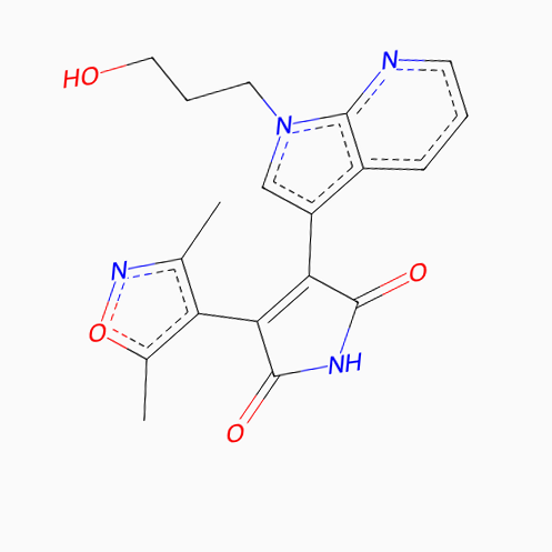 Cc1noc(C)c1C1=C(c2cn(CCCO)c3ncccc23)C(=O)NC1=O